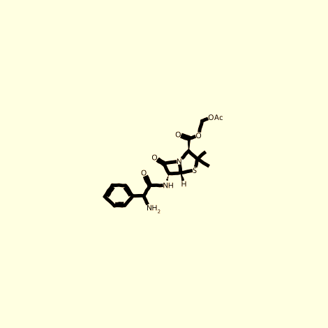 CC(=O)OCOC(=O)[C@@H]1N2C(=O)[C@@H](NC(=O)C(N)c3ccccc3)[C@H]2SC1(C)C